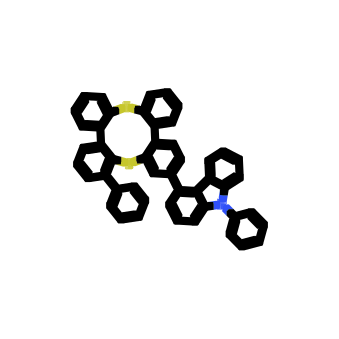 c1ccc(-c2cccc3c2Sc2cc(-c4cccc5c4c4ccccc4n5-c4ccccc4)ccc2-c2ccccc2Sc2ccccc2-3)cc1